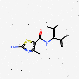 C=C(C(NC(=O)c1sc(N)nc1C)=C(C)C)C(C)C